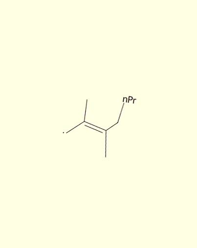 [CH2]C(C)=C(C)CCCC